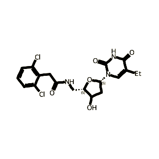 CCc1cn([C@@H]2CC(O)[C@H](CNC(=O)Cc3c(Cl)cccc3Cl)O2)c(=O)[nH]c1=O